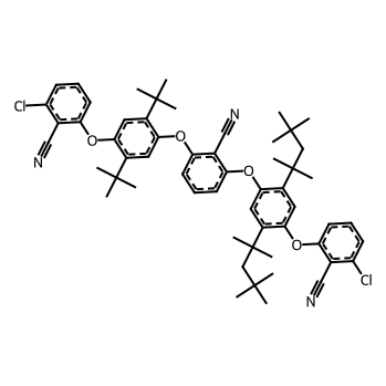 CC(C)(C)CC(C)(C)c1cc(Oc2cccc(Oc3cc(C(C)(C)C)c(Oc4cccc(Cl)c4C#N)cc3C(C)(C)C)c2C#N)c(C(C)(C)CC(C)(C)C)cc1Oc1cccc(Cl)c1C#N